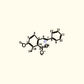 COc1ccc(/C=C/c2ccccc2)c([N+](=O)[O-])c1C